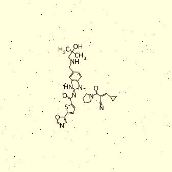 CC(C)(O)CNCc1ccc2c(c1)[nH]/c(=N\C(=O)c1ccc(-c3cnco3)s1)n2C[C@H]1CCCN1C(=O)/C(C#N)=C/C1CC1